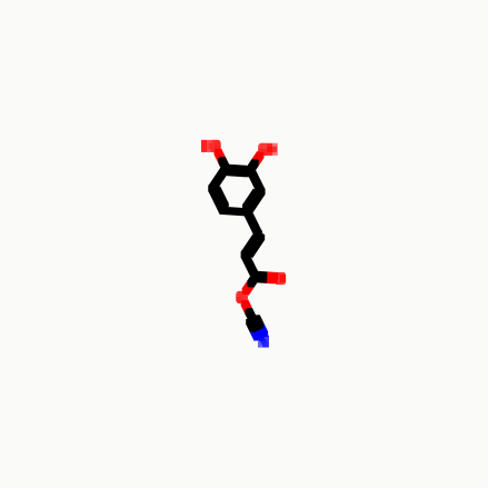 N#COC(=O)C=Cc1ccc(O)c(O)c1